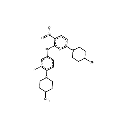 NC1CCN(c2ccc(Nc3nc(N4CCC(O)CC4)ccc3[N+](=O)[O-])cc2F)CC1